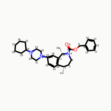 C[C@H]1CCN(C(=O)OCc2ccccc2)[C@@H](C)c2cc(N3CCN(C4CCCCC4)CC3)ccc21